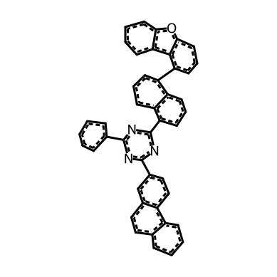 c1ccc(-c2nc(-c3ccc4c(ccc5ccccc54)c3)nc(-c3cccc4c(-c5cccc6oc7ccccc7c56)cccc34)n2)cc1